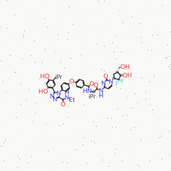 CCNC(=O)c1nnc(-c2cc(C(C)C)c(O)cc2O)n1-c1ccc(Oc2ccc(C(=O)N[C@H](C(=O)Nc3ccn([C@@H]4C[C@H](CO)[C@@H](O)C4(F)F)c(=O)n3)C(C)C)cc2)cc1